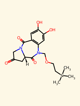 C[Si](C)(C)CCOCN1C(=O)[C@@H]2CC(=O)CN2C(=O)c2cc(O)c(O)cc21